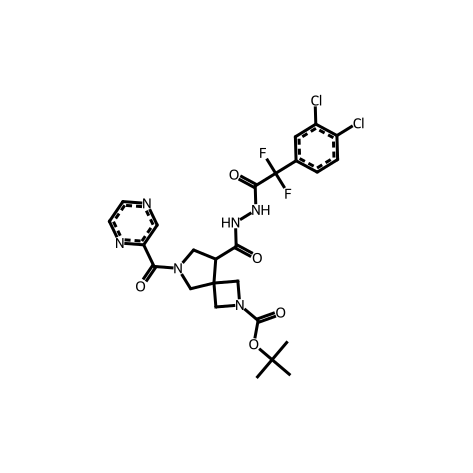 CC(C)(C)OC(=O)N1CC2(C1)CN(C(=O)c1cnccn1)CC2C(=O)NNC(=O)C(F)(F)c1ccc(Cl)c(Cl)c1